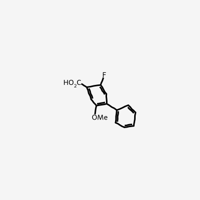 COc1cc(C(=O)O)c(F)cc1-c1ccccc1